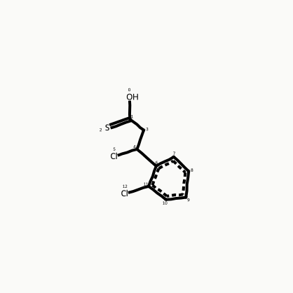 OC(=S)CC(Cl)c1ccccc1Cl